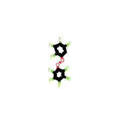 Fc1cc(OOc2c(F)c(F)c(F)c(F)c2F)c(F)c(F)c1F